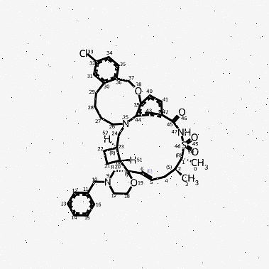 C[C@@H]1[C@@H](C)C/C=C/[C@]2(CN(Cc3ccccc3)CCO2)[C@@H]2CC[C@H]2CN2CCCCc3cc(Cl)ccc3COc3ccc(cc32)C(=O)NS1(=O)=O